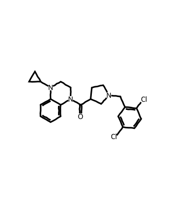 O=C(C1CCN(Cc2cc(Cl)ccc2Cl)C1)N1CCN(C2CC2)c2ccccc21